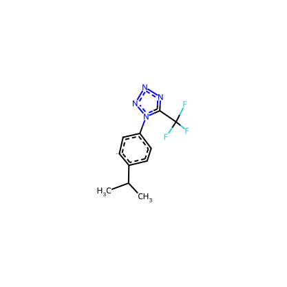 CC(C)c1[c]cc(-n2nnnc2C(F)(F)F)cc1